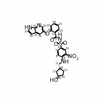 O=C(NS(=O)(=O)c1ccc(NC[C@@H]2CC[C@H](O)C2)c([N+](=O)[O-])c1)c1ccccc1Oc1cnc2[nH]ccc2c1